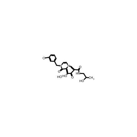 CC(O)CNC(=O)c1cn2ccn(Cc3cccc(Cl)c3)c(=O)c2c(O)c1=O.Cl